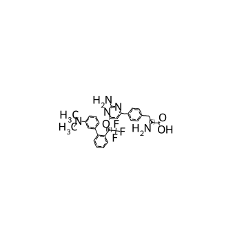 CN(C)c1cccc(-c2ccccc2[C@@H](Oc2cc(-c3ccc(C[C@H](N)C(=O)O)cc3)nc(N)n2)C(F)(F)F)c1